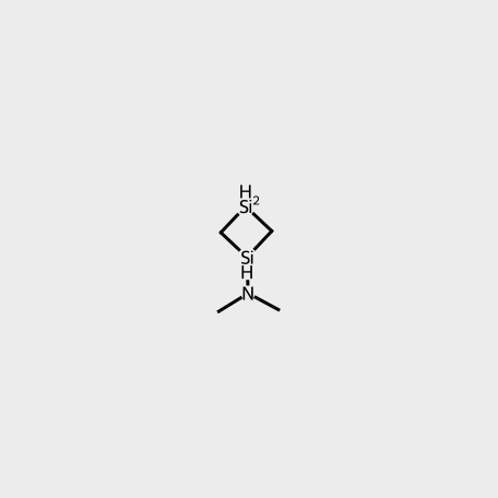 CN(C)[SiH]1C[SiH2]C1